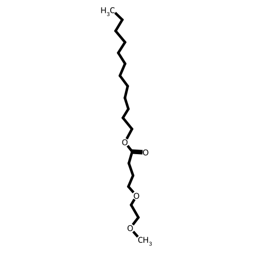 CCCCCCCCCCCCOC(=O)CCCOCCOC